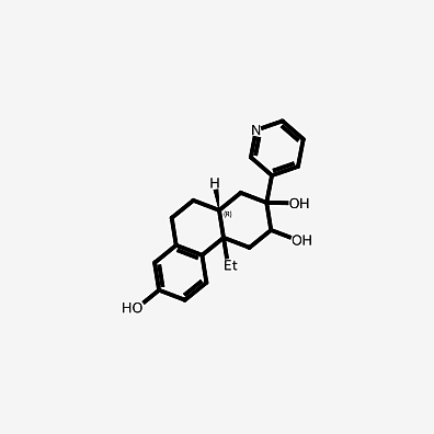 CCC12CC(O)C(O)(c3cccnc3)C[C@H]1CCc1cc(O)ccc12